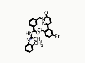 CCc1ccc(Cl)c(-c2ccc(=O)n(Cc3cccc(C(=O)N/C(C)=N/c4ccccc4C)c3)n2)c1